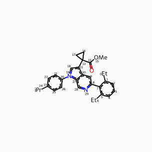 CCc1cccc(CC)c1-c1cc2c(C3(C(=O)OC)CC3)cn(-c3ccc(C(C)C)cc3)c2cn1